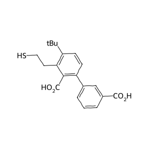 CC(C)(C)c1ccc(-c2cccc(C(=O)O)c2)c(C(=O)O)c1CCS